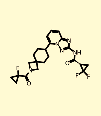 O=C(Nc1nc2cccc(C3CCC4(CC3)CN(C(=O)C3(F)CC3)C4)n2n1)[C@H]1CC1(F)F